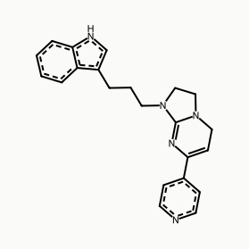 C1=C(c2ccncc2)N=C2N(C1)CCN2CCCc1c[nH]c2ccccc12